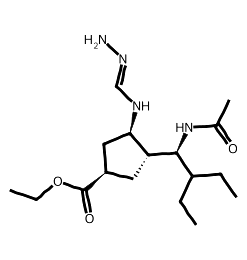 CCOC(=O)[C@@H]1C[C@@H]([C@@H](NC(C)=O)C(CC)CC)[C@H](NC=NN)C1